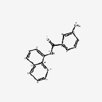 CC(=O)Oc1cccc(C(=O)Nc2cccc3cccnc23)c1